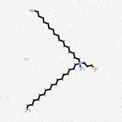 CCCCCCCCCCCCCCCCCC[N+](C)(CCCO)CCCCCCCCCCCCCCCCCC.[Cl-]